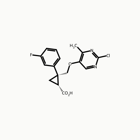 Cc1nc(Cl)ncc1OC[C@@]1(c2cccc(F)c2)C[C@H]1C(=O)O